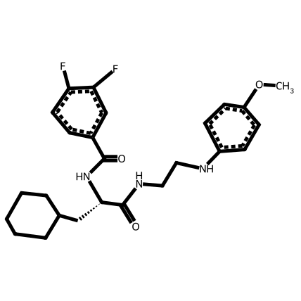 COc1ccc(NCCNC(=O)[C@H](CC2CCCCC2)NC(=O)c2ccc(F)c(F)c2)cc1